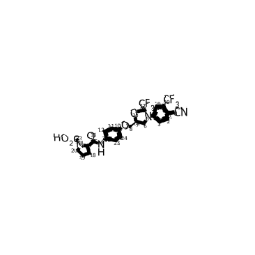 N#Cc1ccc(N2C[C@@H](COc3ccc(NC(=O)C4CCCN4C(=O)O)cc3)O[C@@H]2C(F)(F)F)cc1C(F)(F)F